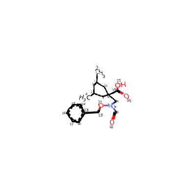 CC1CC(C)CC(CN(C=O)OCc2ccccc2)(C(=O)O)C1